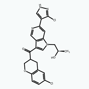 C[C@@H](O)Cn1cc(C(=O)C2COc3ccc(Cl)cc3C2)c2cnc(-c3c[nH]nc3Cl)cc21